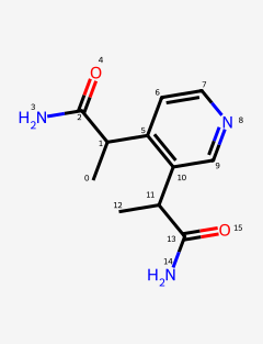 CC(C(N)=O)c1ccncc1C(C)C(N)=O